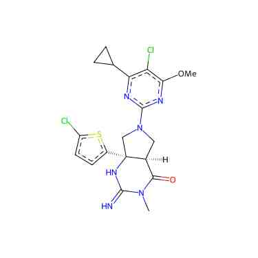 COc1nc(N2C[C@H]3C(=O)N(C)C(=N)N[C@@]3(c3ccc(Cl)s3)C2)nc(C2CC2)c1Cl